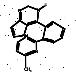 Cc1ccnc(-c2ccccc2C2=c3[nH]ccc3=NCN2F)n1